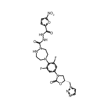 O=C(NNC(=O)N1CCN(c2c(F)cc(N3C[C@H](Cn4ccnn4)OC3=O)cc2F)CCN1)c1ccc([N+](=O)[O-])o1